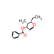 CC[C@H]1OC=C[C@@H](OC(=O)c2ccccc2)[C@@H]1C